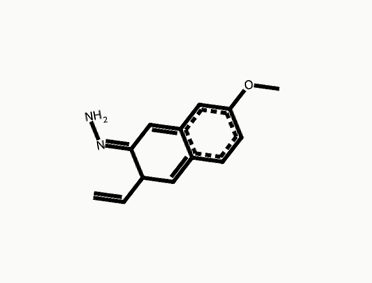 C=CC1C=c2ccc(OC)cc2=CC1=NN